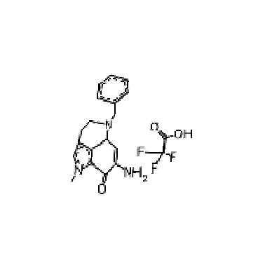 Cn1cc2c3c1C(=O)C(N)=CC3N(Cc1ccccc1)CC2.O=C(O)C(F)(F)F